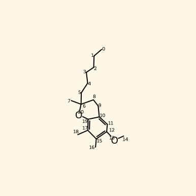 CCCCCCC1(C)CCc2cc(OC)c(C)c(C)c2O1